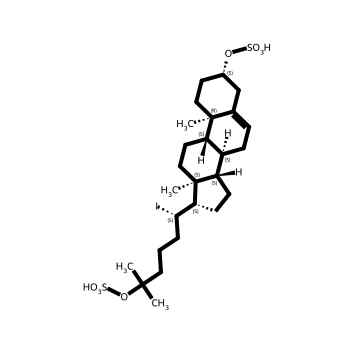 CC(C)(CCC[C@H](I)[C@H]1CC[C@H]2[C@@H]3CC=C4C[C@@H](OS(=O)(=O)O)CC[C@]4(C)[C@H]3CC[C@]12C)OS(=O)(=O)O